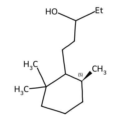 CCC(O)CCC1[C@@H](C)CCCC1(C)C